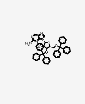 Nc1ncc2ncn([C@@H]3O[C@H](COC(c4ccccc4)(c4ccccc4)c4ccccc4)[C@@H](OC(c4ccccc4)(c4ccccc4)c4ccccc4)[C@H]3O)c2n1